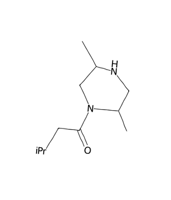 CC(C)CC(=O)N1CC(C)NCC1C